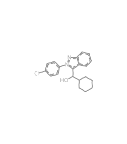 OC(c1c2ccccc2nn1-c1ccc(Cl)cc1)C1CCCCC1